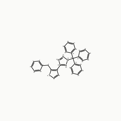 c1ccc(Cc2sccc2-c2nnn(C(c3ccccc3)(c3ccccc3)c3ccccc3)n2)cc1